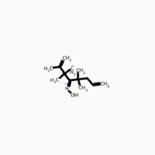 C=CCC(C)(C)/C(=N\O)C(C)(C)C(=C)C